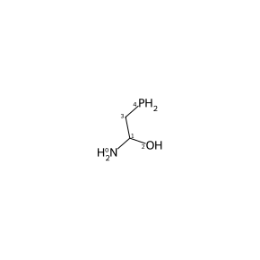 NC(O)CP